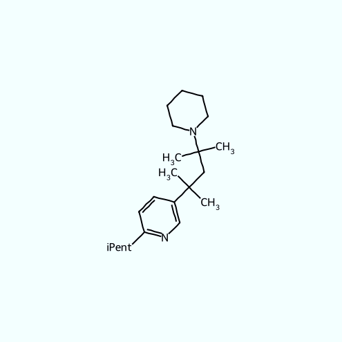 CCCC(C)c1ccc(C(C)(C)CC(C)(C)N2CCCCC2)cn1